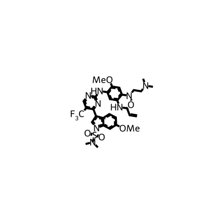 C=CC(=O)Nc1cc(Nc2ncc(C(F)(F)F)c(-c3cn(S(=O)(=O)N(C)C)c4cc(OC)ccc34)n2)c(OC)cc1N(C)CCN(C)C